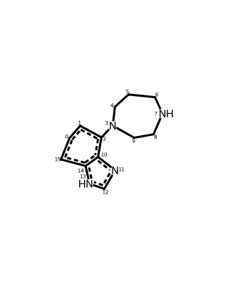 c1cc(N2CCCNCC2)c2nc[nH]c2c1